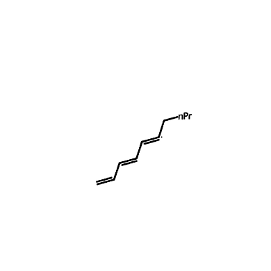 C=CC=C/C=[C]/CCCC